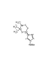 CNc1cnn([C@@H]2CCN(C)C(C)(C)C2)c1